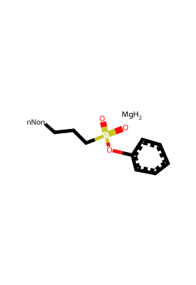 CCCCCCCCCCCCS(=O)(=O)Oc1ccccc1.[MgH2]